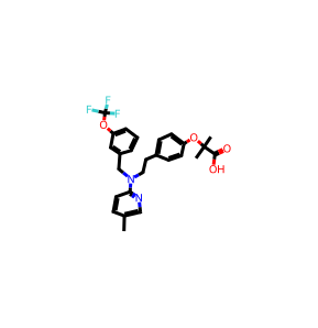 Cc1ccc(N(CCc2ccc(OC(C)(C)C(=O)O)cc2)Cc2cccc(OC(F)(F)F)c2)nc1